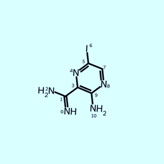 N=C(N)c1nc(I)cnc1N